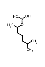 CC(C)CCCC(C)ON(O)O